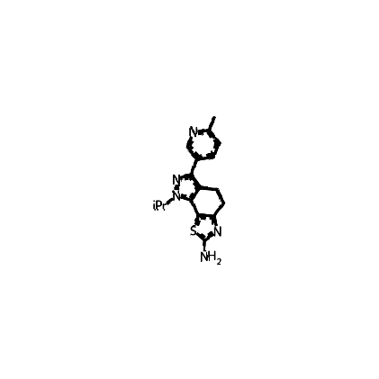 Cc1ccc(-c2nn(C(C)C)c3c2CCc2nc(N)sc2-3)cn1